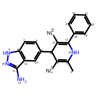 CC1=C(C#N)C(c2ccc3[nH]nc(N)c3c2)C(C#N)=C(c2ccccc2)N1